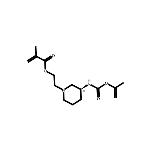 C=C(C)OC(=O)N[C@H]1CCCN(CCOC(=O)C(=C)C)C1